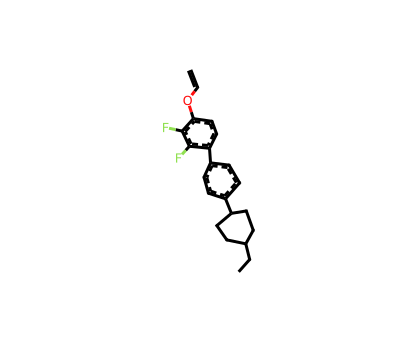 C=COc1ccc(-c2ccc(C3CCC(CC)CC3)cc2)c(F)c1F